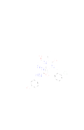 COc1ccc(CNC(=O)N2[C@H]3CN(Cc4ccccc4Cl)C(=O)[C@H](CC(C)C)N3C(=O)CN2C)cc1